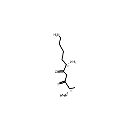 CN[C@@H](C)C(=O)CC(=O)[C@@H](N)CCCCN